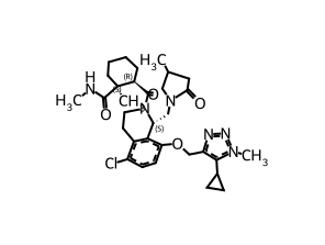 CNC(=O)[C@@]1(C)CCCC[C@H]1C(=O)N1CCc2c(Cl)ccc(OCc3nnn(C)c3C3CC3)c2[C@H]1CN1CC(C)CC1=O